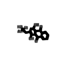 CC[C@@](O)(Cc1cc(O)c2c(c1O)C(=O)c1ccccc1C2=O)C(C)=O